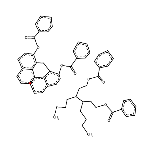 CCCCC(CCOC(=O)c1ccccc1)C(CCCC)CCOC(=O)c1ccccc1.O=C(Oc1ccc2ccccc2c1Cc1c(OC(=O)c2ccccc2)ccc2ccccc12)c1ccccc1